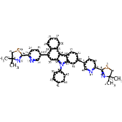 CC1(C)CSC(c2ccc(-c3ccc4c5c6ccccc6c(-c6ccc(C7=NC(C)(C)CS7)nc6)cc5n(-c5ccccc5)c4c3)cn2)=N1